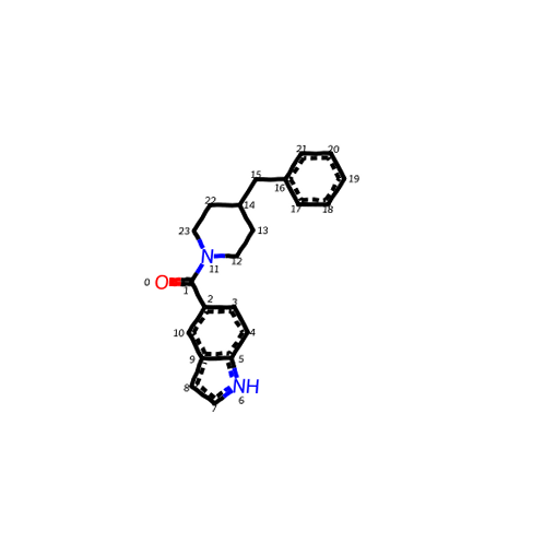 O=C(c1ccc2[nH]ccc2c1)N1CCC(Cc2ccccc2)CC1